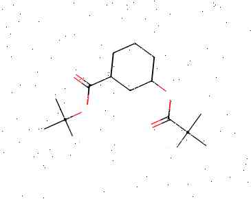 CCC(C)(C)OC(=O)C1CCCC(OC(=O)C(C)(C)CC)C1